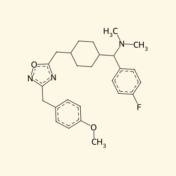 COc1ccc(Cc2noc(CC3CCC(C(c4ccc(F)cc4)N(C)C)CC3)n2)cc1